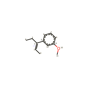 C/C=C(/CC)c1cccc(OC)c1